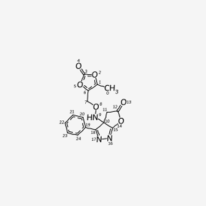 Cc1oc(=O)oc1CONC12CC(=O)OC1=NN=C2c1ccccc1